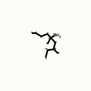 BC(C)(CCCC)CC(C)CC